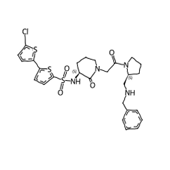 O=C1[C@@H](NS(=O)(=O)c2ccc(-c3ccc(Cl)s3)s2)CCCN1CC(=O)N1CCC[C@H]1CNCc1ccccc1